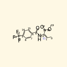 C/C=C(/NC(=O)c1ccc(C(F)(F)F)cc1)C(=O)OC